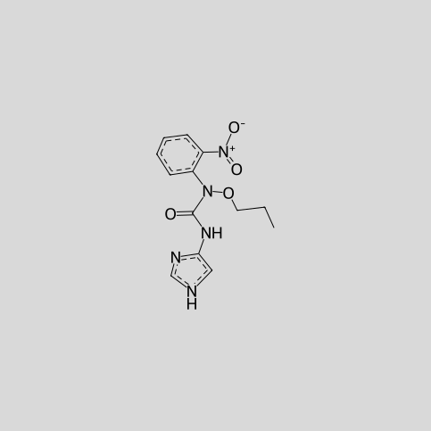 CCCON(C(=O)Nc1c[nH]cn1)c1ccccc1[N+](=O)[O-]